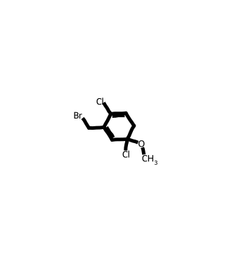 COC1(Cl)C=C(CBr)C(Cl)=CC1